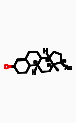 CC(=O)[C@@H]1CC[C@@H]2C3CCC4=CC(=O)CCC4[C@@H]3CC[C@]21C